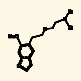 CCN(CC)CCOCCc1cc2ccsc2cc1OC